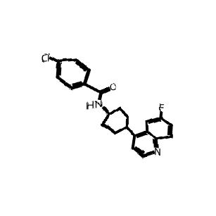 O=C(NC1CCC(c2ccnc3ccc(F)cc23)CC1)c1ccc(Cl)cc1